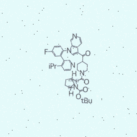 CC(C)c1ccncc1-c1cc(F)ccc1-n1cc(C(=O)C2CCN(C(=O)[C@@H]3[C@H]4CC[C@H](C4)N3C(=O)OC(C)(C)C)CC2)c2ccncc21